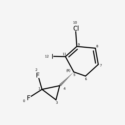 FC1(F)CC1[C@H]1CC=CC(Cl)=C1I